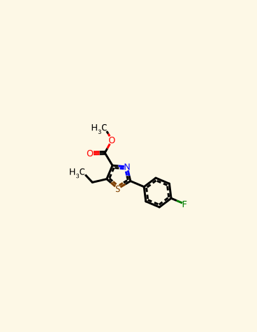 CCc1sc(-c2ccc(F)cc2)nc1C(=O)OC